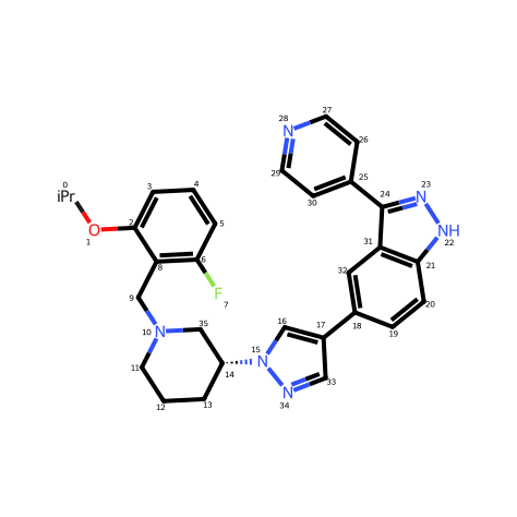 CC(C)Oc1cccc(F)c1CN1CCC[C@@H](n2cc(-c3ccc4[nH]nc(-c5ccncc5)c4c3)cn2)C1